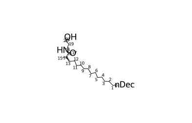 CCCCCCCCCCCCCCCCCCCCCCC=C(C)C(=O)NCCO